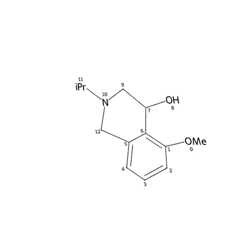 COc1cccc2c1C(O)CN(C(C)C)C2